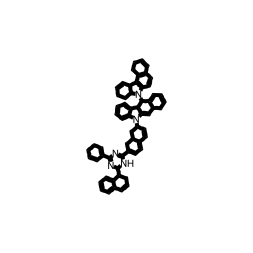 C1=CCC2C=C3C(c4ccccc4N3C3C=CC4=CC=C(C5=NC(C6=CCCC=C6)=NC(C6CC=Cc7ccccc76)N5)CC4C3)C(N3c4ccc5c(c4C4C=CCCC43)CCC=C5)C2=C1